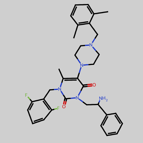 Cc1cccc(C)c1CN1CCN(c2c(C)n(Cc3c(F)cccc3F)c(=O)n(CC(N)c3ccccc3)c2=O)CC1